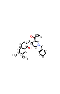 CC(=O)C1=CN(Cc2ccccc2)C=CC1CC1CCc2cc(C)c(C)cc2C1=O